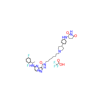 CC(Nc1ccn2ncc(C(=O)NCCCCCCCCN3CCC(c4ccc(NC5CCC(=O)NC5=O)cc4)CC3)c2n1)c1cc(F)ccc1F.O=C(O)C(F)(F)F